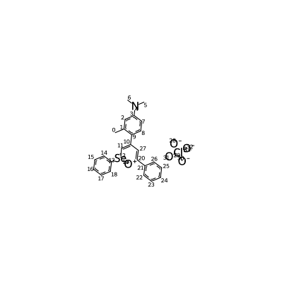 Cc1cc(N(C)C)ccc1C1=C[Se](c2ccccc2)=[O+]C(c2ccccc2)=C1.[O-][Cl+3]([O-])([O-])[O-]